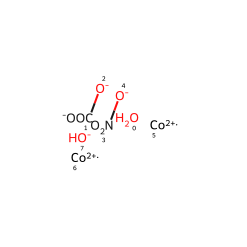 O.O=C([O-])[O-].O=[N+]([O-])[O-].[Co+2].[Co+2].[OH-]